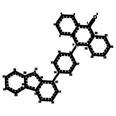 O=c1c2ccccc2n(-c2ccc(-c3cccc4c3sc3ccccc34)cc2)c2ccccc12